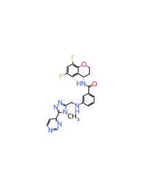 Cn1c(CNc2cccc(C(=O)N[C@H]3CCOc4c(F)cc(F)cc43)c2)nnc1-c1ccncn1